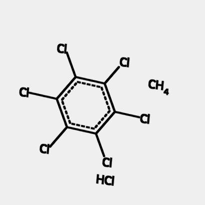 C.Cl.Clc1c(Cl)c(Cl)c(Cl)c(Cl)c1Cl